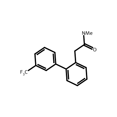 CNC(=O)Cc1ccccc1-c1cccc(C(F)(F)F)c1